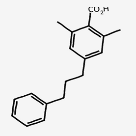 Cc1cc(CCCc2ccccc2)cc(C)c1C(=O)O